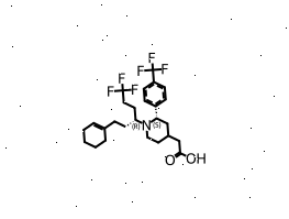 O=C(O)CC1CCN([C@H](CCC2=CCCCC2)CCC(F)(F)F)[C@H](c2ccc(C(F)(F)F)cc2)C1